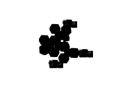 CC(C)(C)c1ccc(N(c2ccc(C(C)(C)C)cc2)c2cccc(N(c3cc(-c4ccccc4)cc(N(c4ccccc4)c4csc5ccc(C(C)(C)C)cc45)c3Cl)c3cccc4c3oc3ccccc34)c2)cc1